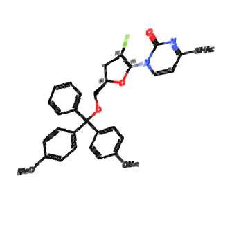 COc1ccc(C(OC[C@H]2[CH][C@@H](F)[C@H](n3ccc(NC(C)=O)nc3=O)O2)(c2ccccc2)c2ccc(OC)cc2)cc1